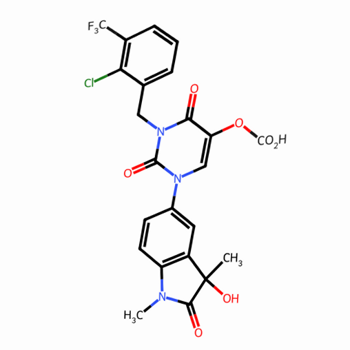 CN1C(=O)C(C)(O)c2cc(-n3cc(OC(=O)O)c(=O)n(Cc4cccc(C(F)(F)F)c4Cl)c3=O)ccc21